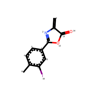 C=C1N=C(c2ccc(C)c(I)c2)OC1=O